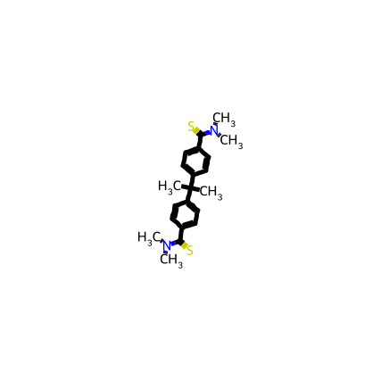 CN(C)C(=S)c1ccc(C(C)(C)c2ccc(C(=S)N(C)C)cc2)cc1